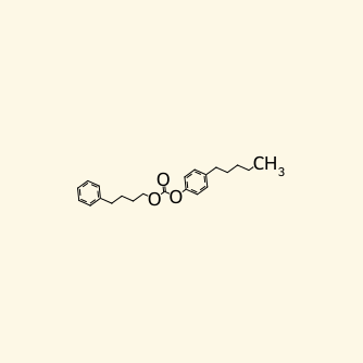 CCCCCc1ccc(OC(=O)OCCCCc2ccccc2)cc1